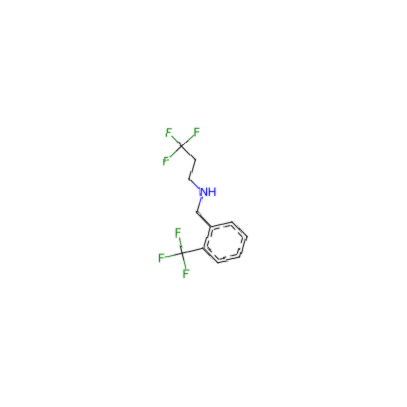 FC(F)(F)CCNCc1ccccc1C(F)(F)F